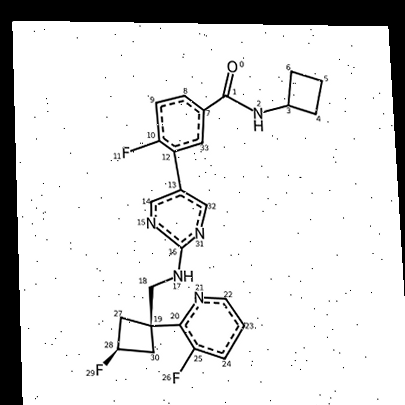 O=C(NC1CCC1)c1ccc(F)c(-c2cnc(NC[C@]3(c4ncccc4F)C[C@H](F)C3)nc2)c1